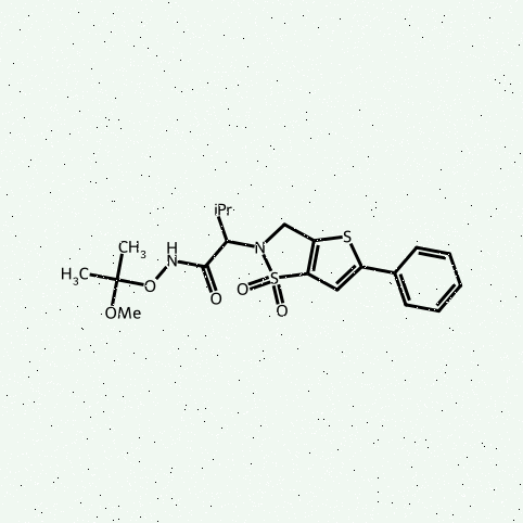 COC(C)(C)ONC(=O)C(C(C)C)N1Cc2sc(-c3ccccc3)cc2S1(=O)=O